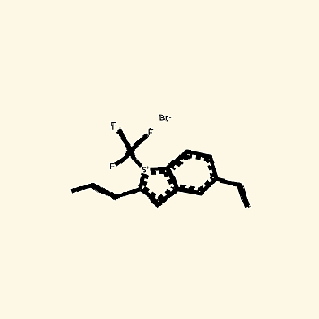 CCCc1cc2cc(CC)ccc2[s+]1C(F)(F)F.[Br-]